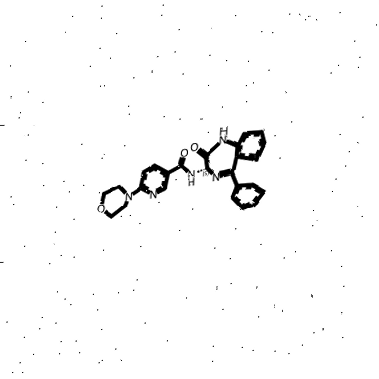 O=C(N[C@H]1N=C(c2ccccc2)c2ccccc2NC1=O)c1ccc(N2CCOCC2)nc1